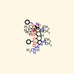 CNC(=O)Nc1nc(N(C)C)c2c(c1OCc1ccccc1)C(=O)C1=C(O)[C@]3(O[Si](C)(C)C(C)(C)C)C(=O)c4c(OCc5ccccc5)noc4[C@@H](N(C)C)[C@@H]3C[C@@H]1C2